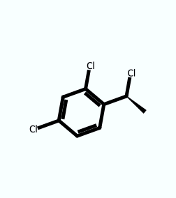 C[C@H](Cl)c1ccc(Cl)cc1Cl